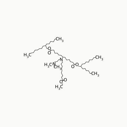 CCCCCCCCC(CCCCCC)COC(=O)CCCCCC(CCCCCC(=O)OCC(CCCCCC)CCCCCCCC)N(CCCCCCCCC(=O)OCC)CCCN(C)C